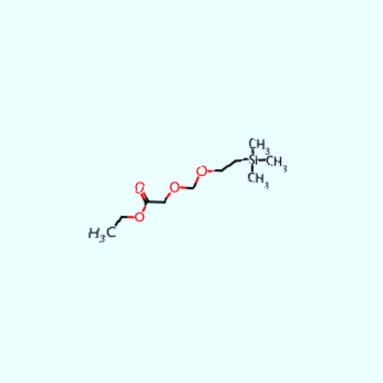 CCOC(=O)COCOCC[Si](C)(C)C